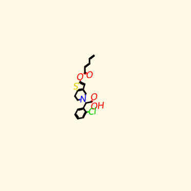 C=C/C=C/C(=O)Oc1cc2c(s1)CCN([C@H](C(=O)O)c1ccccc1Cl)C2